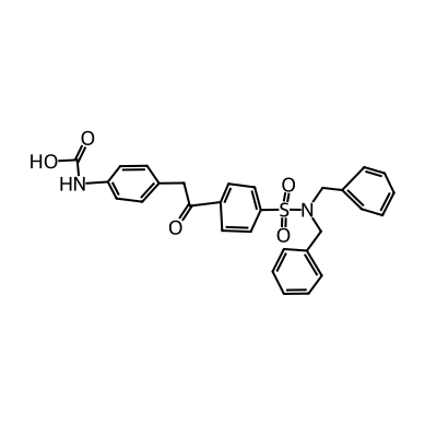 O=C(O)Nc1ccc(CC(=O)c2ccc(S(=O)(=O)N(Cc3ccccc3)Cc3ccccc3)cc2)cc1